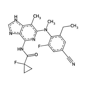 CCc1cc(C#N)cc(F)c1N(C)c1nc(NC(=O)C2(F)CC2)c2nc[nH]c2c1C